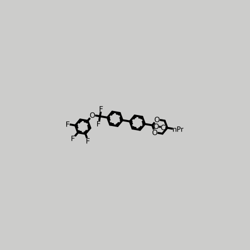 CCCC12COC(c3ccc(-c4ccc(C(F)(F)Oc5cc(F)c(F)c(F)c5)cc4)cc3)(OC1)OC2